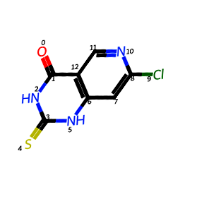 O=c1[nH]c(=S)[nH]c2cc(Cl)ncc12